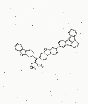 C=C(CC)N(C1=CC2Oc3cc(-c4ccc5c(c4)c4cccc6c7ccccc7n5c64)ccc3C2C=C1)C1C=c2oc3ccccc3c2=CC1